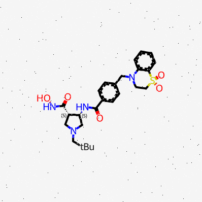 CC(C)(C)CN1C[C@H](C(=O)NO)[C@H](NC(=O)c2ccc(CN3CCS(=O)(=O)c4ccccc43)cc2)C1